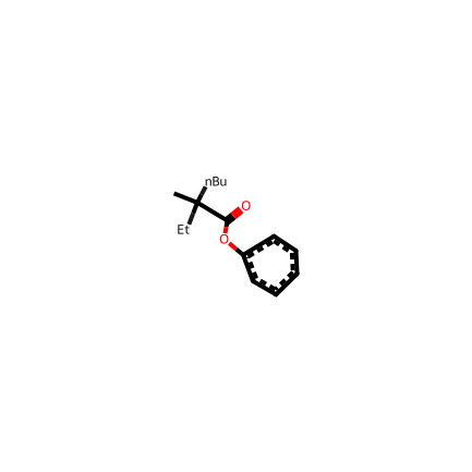 CCCCC(C)(CC)C(=O)Oc1ccccc1